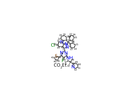 CCOC(=O)CC(Nc1nc(-c2nn(C(c3ccccc3)(c3ccccc3)c3ccccc3)c3ncc(Cl)cc23)nc(-c2cccs2)c1F)C(C)(C)c1ccccn1